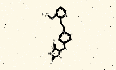 CCc1cccnc1CCc1ccc(CC2SC(=O)NC2=O)cc1